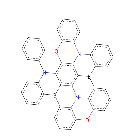 c1ccc(N2c3ccccc3B3c4cccc5c4N4c6c(cccc6B6c7ccccc7N7c8ccccc8Oc8c2c3c4c6c87)O5)cc1